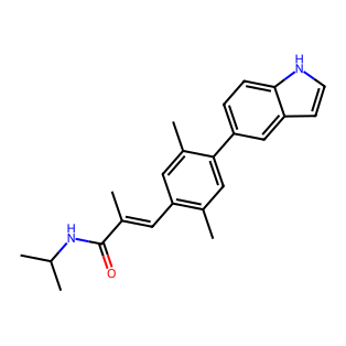 C/C(=C\c1cc(C)c(-c2ccc3[nH]ccc3c2)cc1C)C(=O)NC(C)C